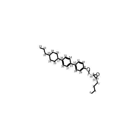 CCCC[C@@H]1O[C@H]1COc1ccc(-c2ccc(C3CCC(CCC)CC3)cc2)cc1